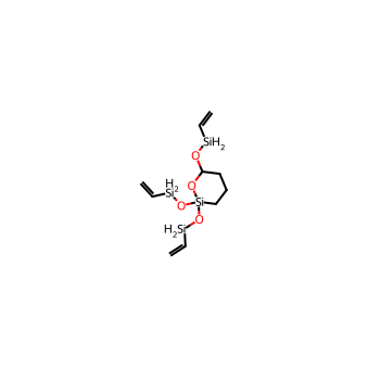 C=C[SiH2]OC1CCC[Si](O[SiH2]C=C)(O[SiH2]C=C)O1